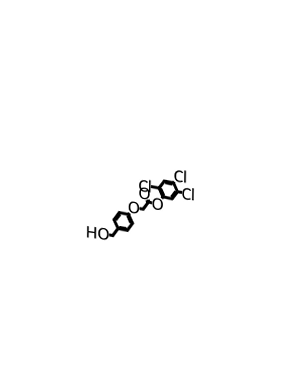 O=C(COc1ccc(CO)cc1)Oc1cc(Cl)c(Cl)cc1Cl